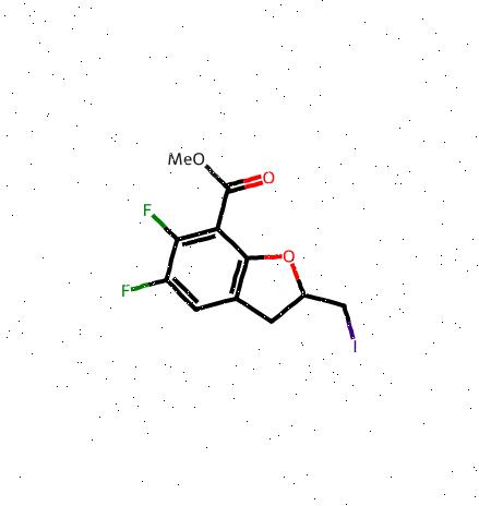 COC(=O)c1c(F)c(F)cc2c1OC(CI)C2